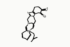 CC(C)C[N+]12C=C3CC4C(=NC5=C4C(=O)C(=O)CC5)CN3C=C1C=CCC2